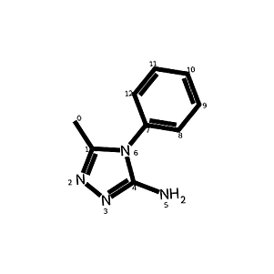 Cc1nnc(N)n1-c1ccccc1